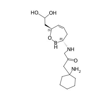 NC1(CC(=O)CN[C@@H]2BO[C@@H](CC(O)O)C=CC2)CCCCC1